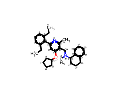 CCc1cccc(CC)c1-c1cc(OC2CCCC2)c(CN(C)[C@@H]2CCCc3ccccc32)c(C)n1